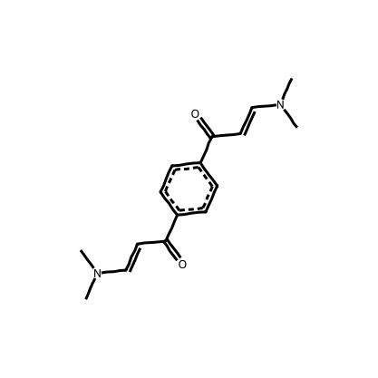 CN(C)/C=C/C(=O)c1ccc(C(=O)/C=C/N(C)C)cc1